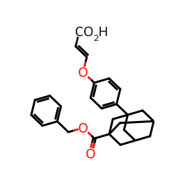 O=C(O)C=COc1ccc(C23CC4CC(CC(C(=O)OCc5ccccc5)(C4)C2)C3)cc1